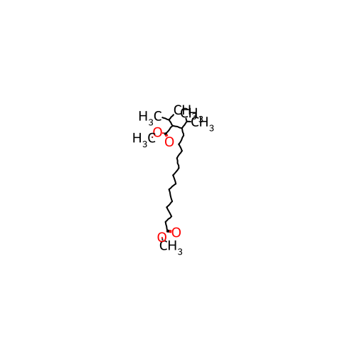 COC(=O)CCCCCCCCCCCCC(C(C)C)C(C(=O)OC)C(C)C